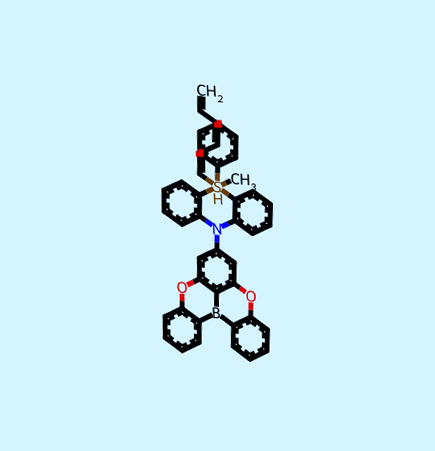 C=C/C=C\C=C/[SH]1(C)(c2ccccc2)c2ccccc2N(c2cc3c4c(c2)Oc2ccccc2B4c2ccccc2O3)c2ccccc21